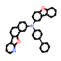 c1ccc(-c2ccc(N(c3ccc4oc5ccccc5c4c3)c3ccc4ccc5c6cccnc6oc5c4c3)cc2)cc1